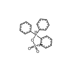 CCCS(=O)(=O)O[PH](c1ccccc1)(c1ccccc1)c1ccccc1